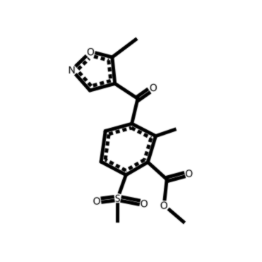 COC(=O)c1c(S(C)(=O)=O)ccc(C(=O)c2cnoc2C)c1C